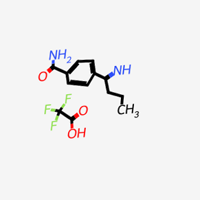 CCCC(=N)c1ccc(C(N)=O)cc1.O=C(O)C(F)(F)F